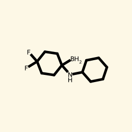 BC1(NC2CCCCC2)CCC(F)(F)CC1